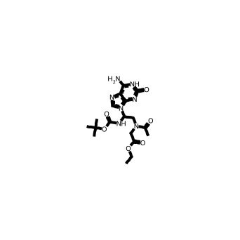 CCOC(=O)CN(CC(NC(=O)OC(C)(C)C)n1cnc2c(N)[nH]c(=O)nc21)C(C)=O